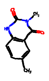 Cc1ccc2[nH]c(=O)n(C)c(=O)c2c1